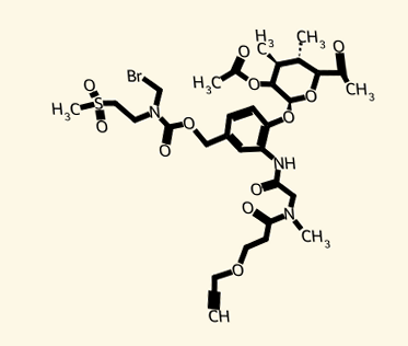 C#CCOCCC(=O)N(C)CC(=O)Nc1cc(COC(=O)N(CBr)CCS(C)(=O)=O)ccc1O[C@@H]1OC(C(C)=O)[C@@H](C)[C@H](C)C1OC(C)=O